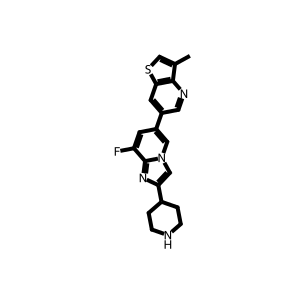 Cc1csc2cc(-c3cc(F)c4nc(C5CCNCC5)cn4c3)cnc12